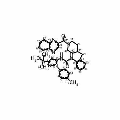 Cc1ccc(-n2nc(C(C)(C)C)cc2NC(=O)Nc2ccccc2CC2CCN(C(=O)c3cnc4ccccc4n3)CC2)cc1